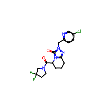 O=C(C1CCCc2nn(Cc3ccc(Cl)cn3)c(=O)n21)N1CCC(F)(F)C1